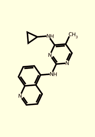 Cc1cnc(Nc2cccc3ncccc23)nc1NC1CC1